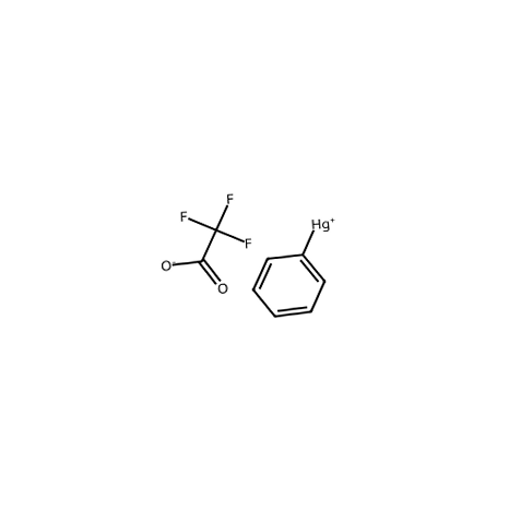 O=C([O-])C(F)(F)F.[Hg+][c]1ccccc1